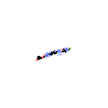 COc1cccc(COCC(=O)Nc2nnc(-c3ccc(-c4ccc(-c5nnc(NC(=O)Cc6c(C)nc7nc(C(F)(F)F)nn7c6C)[nH]5)nc4)cn3)[nH]2)c1